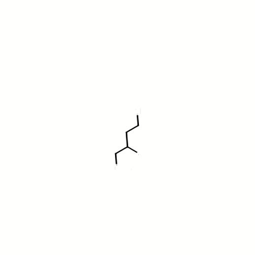 O=CCC(Cl)CCS